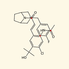 CC(=O)Nc1cc(Cl)c(C(C)(C)O)cc1/C=C/C(=O)N1C2CCC1CN(Cc1ccc(F)cc1)C2